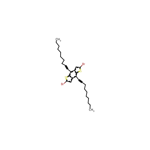 CCCCCCCCC#Cc1c2cc(Br)sc2c(C#CCCCCCCCC)c2cc(Br)sc12